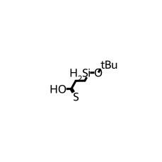 CC(C)(C)O[SiH2]CCC(O)=S